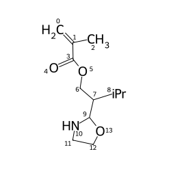 C=C(C)C(=O)OCC(C(C)C)C1NCCO1